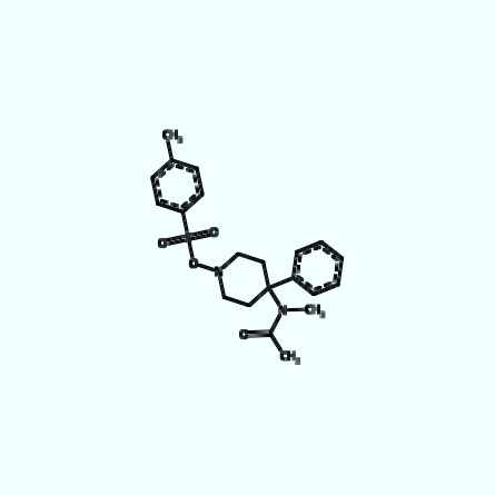 CC(=O)N(C)C1(c2ccccc2)CCN(OS(=O)(=O)c2ccc(C)cc2)CC1